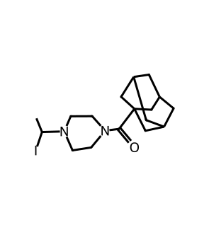 CC(I)N1CCN(C(=O)C23CC4CC(CC(C4)C2)C3)CC1